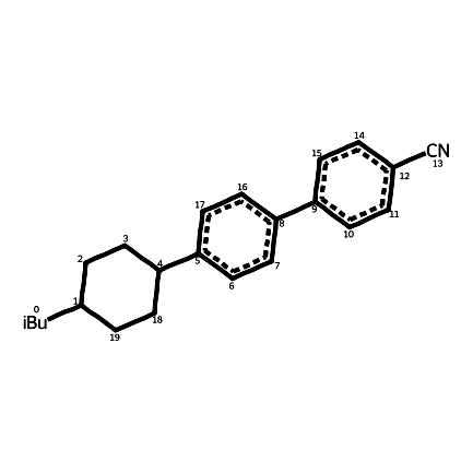 CCC(C)C1CCC(c2ccc(-c3ccc(C#N)cc3)cc2)CC1